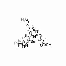 CCCc1cc2c(N3CCn4c(nnc4C(F)(F)F)C3=O)nc(OCCC(=O)O)nc2s1